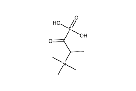 CC(C(=O)P(=O)(O)O)[Si](C)(C)C